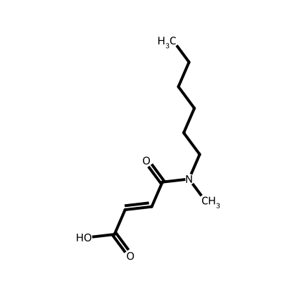 CCCCCCN(C)C(=O)C=CC(=O)O